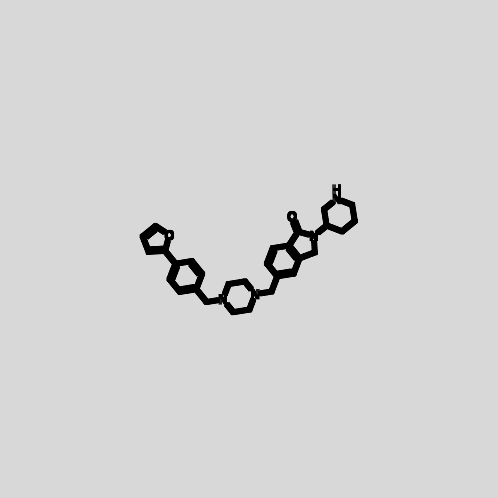 O=C1c2ccc(CN3CCN(Cc4ccc(-c5ccco5)cc4)CC3)cc2CN1C1CCCNC1